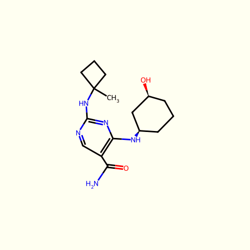 CC1(Nc2ncc(C(N)=O)c(N[C@@H]3CCC[C@H](O)C3)n2)CCC1